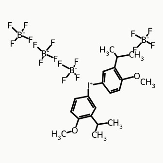 COc1ccc([I+]c2ccc(OC)c(C(C)C)c2)cc1C(C)C.F[B-](F)(F)F.F[B-](F)(F)F.F[B-](F)(F)F.F[B-](F)(F)F